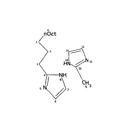 CCCCCCCCCCCc1ncc[nH]1.Cc1ncc[nH]1